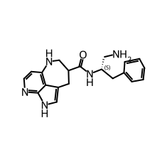 NC[C@H](Cc1ccccc1)NC(=O)C1CNc2ccnc3[nH]cc(c23)C1